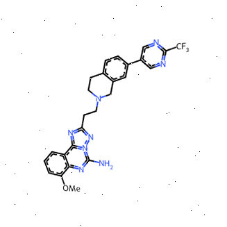 COc1cccc2c1nc(N)n1nc(CCN3CCc4ccc(-c5cnc(C(F)(F)F)nc5)cc4C3)nc21